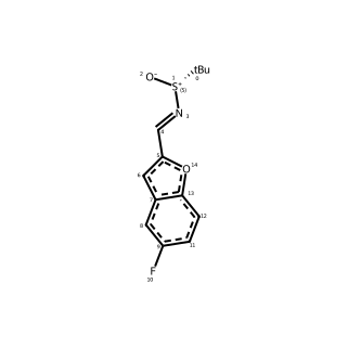 CC(C)(C)[S@@+]([O-])N=Cc1cc2cc(F)ccc2o1